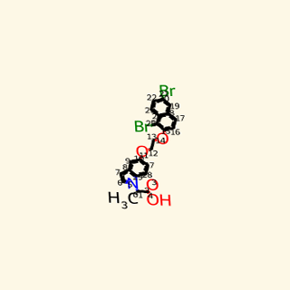 CC(C(=O)O)n1ccc2cc(OCCOc3ccc4cc(Br)ccc4c3Br)ccc21